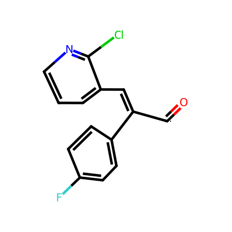 O=[C]/C(=C/c1cccnc1Cl)c1ccc(F)cc1